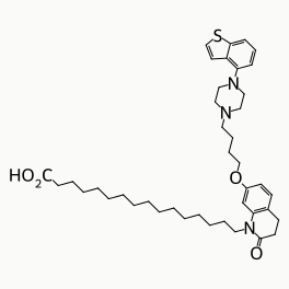 O=C(O)CCCCCCCCCCCCCCCN1C(=O)CCc2ccc(OCCCCN3CCN(c4cccc5sccc45)CC3)cc21